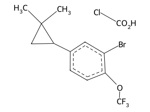 CC1(C)CC1c1ccc(OC(F)(F)F)c(Br)c1.O=C(O)Cl